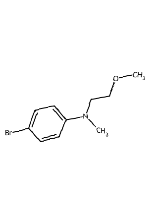 COCCN(C)c1ccc(Br)cc1